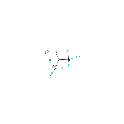 CCC(C(F)(F)F)[13C](F)(F)F